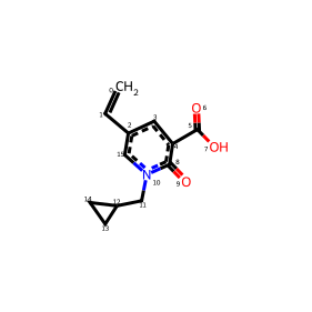 C=Cc1cc(C(=O)O)c(=O)n(CC2CC2)c1